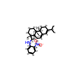 CC(C)C1=CC2=CC[C@H]3[C@](C)(CNc4ccccc4[N+](=O)[O-])CCC[C@]3(C)[C@H]2CC1